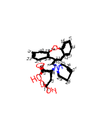 O=C(O)CC(C(=O)O)[N+]1(CC2=Cc3ccccc3Oc3ccccc32)CC=CCC1